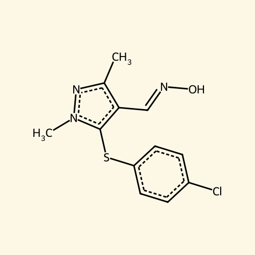 Cc1nn(C)c(Sc2ccc(Cl)cc2)c1C=NO